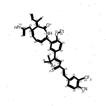 C=C/C(C)=C1C(=O)NC(c2cc(/C(=C/C(=S)/C=C/c3ccc(C#N)c(C(F)(F)F)c3)C(C)(C)C(C)=O)ccc2OCC)=C=C\C=C/1CC(=C)CCC